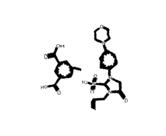 C=CCN1C(=O)CN(c2ccc(N3CCOCC3)cc2)C1S(=O)(=O)O.Cc1cc(C(=O)O)cc(C(=O)O)c1